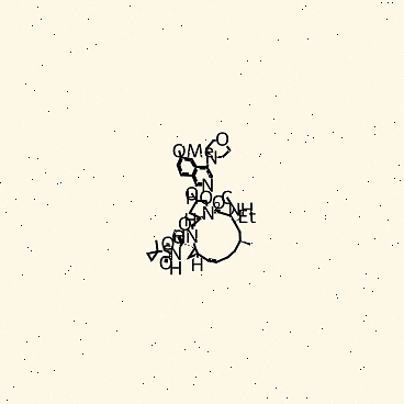 CC[C@@H]1C[C@@H](C)CC/C=C\[C@@H]2C[C@@]2(C(=O)NS(=O)(=O)C2(C)CC2)NC(=O)[C@@H]2C[C@@H](Oc3ncc(N4CCOCC4)c4cc(OC)ccc34)CN2C(=O)[C@H]1NC(=O)O